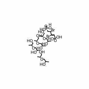 CC(O)COC(C)CO.CC(O)COC(C)CO.CC(O)COC(C)CO.CC(O)COC(C)CO.O=P(O)(O)C=C(Br)C(Br)CP(=O)(O)O